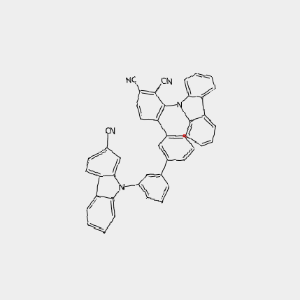 N#Cc1ccc2c3ccccc3n(-c3cccc(-c4cccc(-c5ccc(C#N)c(C#N)c5-n5c6ccccc6c6ccccc65)c4)c3)c2c1